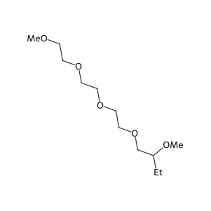 CCC(COCCOCCOCCOC)OC